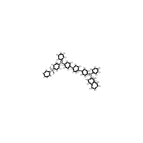 C[Si](C)(c1ccccc1)c1ccc(N(c2ccccc2)c2ccc(-c3ccc(-c4ccc(N(c5ccccc5)c5ccc6ccccc6c5)cc4)cc3)cc2)cc1